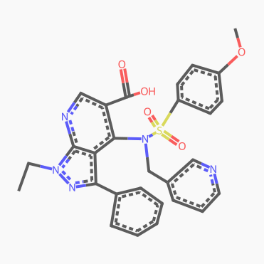 CCn1nc(-c2ccccc2)c2c(N(Cc3cccnc3)S(=O)(=O)c3ccc(OC)cc3)c(C(=O)O)cnc21